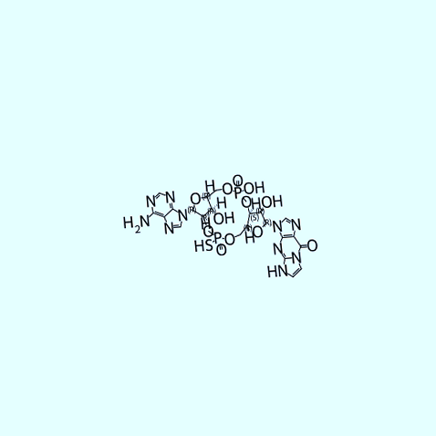 Nc1ncnc2c1ncn2[C@@H]1O[C@@H]2COP(=O)(O)O[C@H]3[C@@H](O)[C@H](n4cnc5c(=O)n6cc[nH]c6nc54)O[C@@H]3COP(=O)(S)O[C@@H]1[C@@H]2O